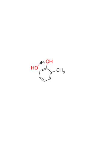 CC(C)O.Cc1ccccc1O